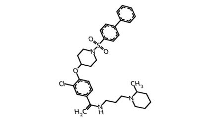 C=C(NCCCN1CCCCC1C)c1ccc(OC2CCN(S(=O)(=O)c3ccc(-c4ccccc4)cc3)CC2)c(Cl)c1